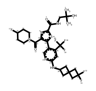 CC(C)(O)CNC(=O)c1nc(C(=O)N2CCC(F)CC2)c(-c2cnc(NC3CC4(C3)CC(F)(F)C4)cc2C(F)(F)F)s1